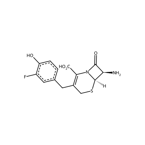 N[C@@H]1C(=O)N2C(C(=O)O)=C(Cc3ccc(O)c(F)c3)CS[C@H]12